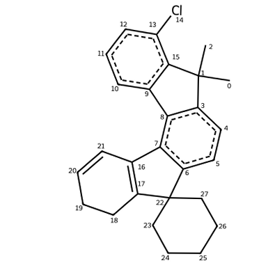 CC1(C)c2ccc3c(c2-c2cccc(Cl)c21)C1=C(CCC=C1)C31CCCCC1